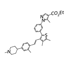 CCOC(=O)c1cnn(-c2cccc(-c3sc(C)c(C)c3/C=C/c3ccc(C4CCN(C)CC4)cc3C)c2)c1C